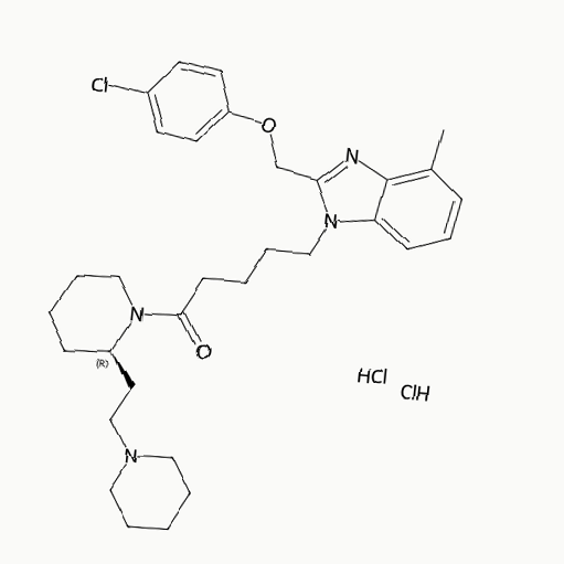 Cc1cccc2c1nc(COc1ccc(Cl)cc1)n2CCCCC(=O)N1CCCC[C@@H]1CCN1CCCCC1.Cl.Cl